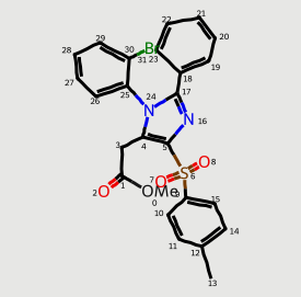 COC(=O)Cc1c(S(=O)(=O)c2ccc(C)cc2)nc(-c2ccccc2)n1-c1ccccc1Br